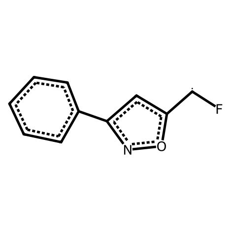 F[CH]c1cc(-c2ccccc2)no1